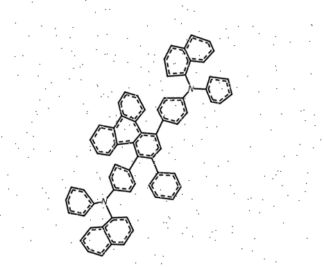 c1ccc(-c2cc(-c3ccc(N(c4ccccc4)c4cccc5ccccc45)cc3)c3c4ccccc4c4ccccc4c3c2-c2ccc(N(c3ccccc3)c3cccc4ccccc34)cc2)cc1